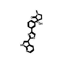 CN1CC[C@@](O)(c2cccc(-c3coc(-c4c[nH]c5ncccc45)n3)c2)C1=O